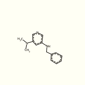 CN(C)c1cncc(NCc2ccccc2)c1